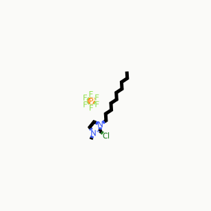 CCCCCCCCCCN1CC[N+](C)=C1Cl.F[P-](F)(F)(F)(F)F